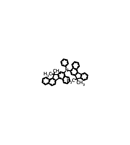 CC1(C)c2ccccc2-c2c1cc(N(c1ccccc1)c1cc3c(c4ccccc14)-c1ccc4ccccc4c1C3(C)C)c1ccccc21